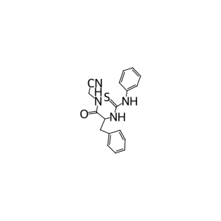 N#CCNC(=O)C(Cc1ccccc1)NC(=S)Nc1ccccc1